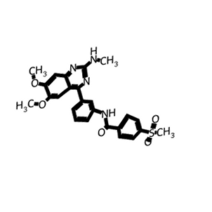 CNc1nc(-c2cccc(NC(=O)c3ccc(S(C)(=O)=O)cc3)c2)c2cc(OC)c(OC)cc2n1